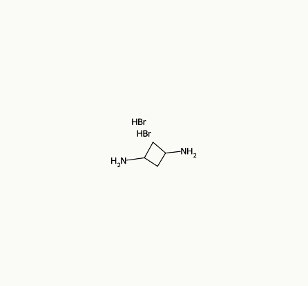 Br.Br.NC1CC(N)C1